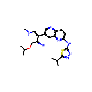 CN/C=C(\C(=N)COC(C)C)c1cnc2ccc(Nc3nnc(C(C)C)s3)nc2c1